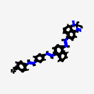 CC1(C)Nc2cccc3c(/N=N/c4ccc(/N=N/c5ccc(/N=N/c6ccc(C(F)(F)F)cc6)cc5)c5ccccc45)ccc(c23)N1